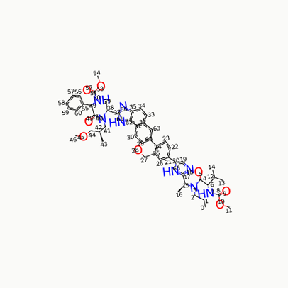 CCCN(C(=O)[C@@H](NC(=O)OC)C(C)C)[C@@H](C)c1ncc(-c2ccc3c(c2)COc2cc4c(ccc5nc([C@H](C)N(C[C@@H](C)COC)C(=O)[C@H](NC(=O)OC)c6ccccc6)[nH]c54)cc2-3)[nH]1